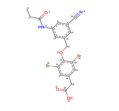 CCC(=O)Nc1cc(C#N)cc(COc2c(Br)cc(CC(=O)O)cc2Br)c1